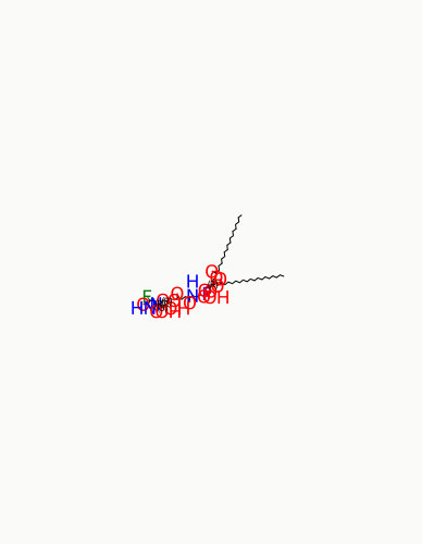 CCCCCCCCCCCCCCCCCC(=O)OC[C@H](COP(=O)(O)OCCNC(=O)CCC(=O)OC[C@H]1O[C@@H](n2cc(F)c(=O)[nH]c2=O)[C@@H](O)C1O)OC(=O)CCCCCCCCCCCCCCCCC